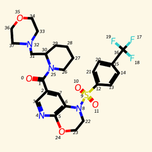 O=C(c1cnc2c(c1)N(S(=O)(=O)c1ccc(C(F)(F)F)cc1)CCO2)N1CCCCC1CN1CCOCC1